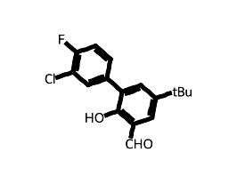 CC(C)(C)c1cc(C=O)c(O)c(-c2ccc(F)c(Cl)c2)c1